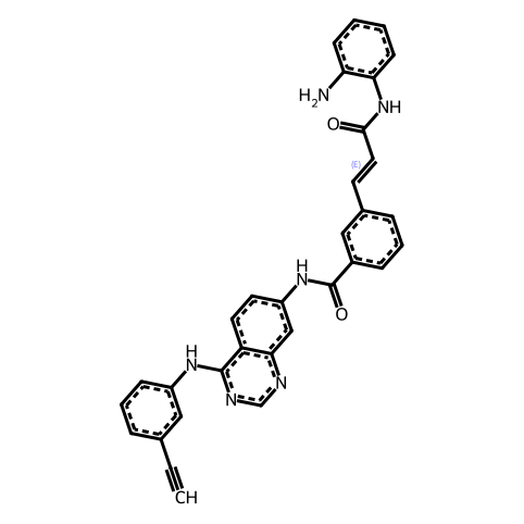 C#Cc1cccc(Nc2ncnc3cc(NC(=O)c4cccc(/C=C/C(=O)Nc5ccccc5N)c4)ccc23)c1